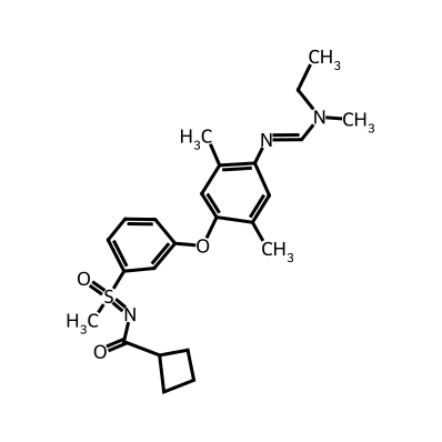 CCN(C)C=Nc1cc(C)c(Oc2cccc(S(C)(=O)=NC(=O)C3CCC3)c2)cc1C